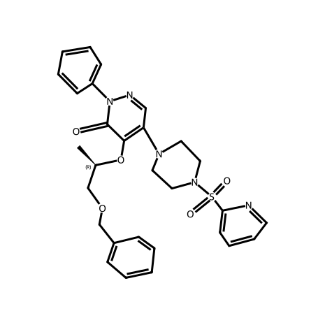 C[C@H](COCc1ccccc1)Oc1c(N2CCN(S(=O)(=O)c3ccccn3)CC2)cnn(-c2ccccc2)c1=O